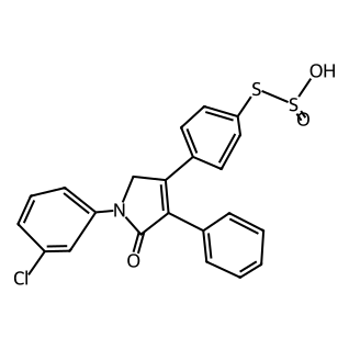 O=C1C(c2ccccc2)=C(c2ccc(SS(=O)O)cc2)CN1c1cccc(Cl)c1